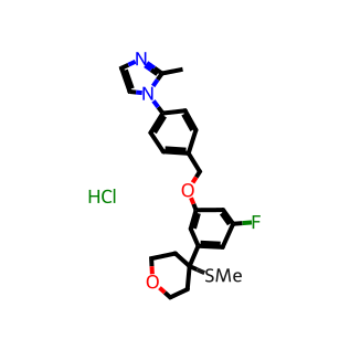 CSC1(c2cc(F)cc(OCc3ccc(-n4ccnc4C)cc3)c2)CCOCC1.Cl